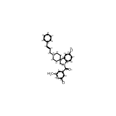 Cc1cc(C(=O)N2CC3(CCN(C/C=C/c4ccccc4)CC3)c3cc(Cl)ccc32)cc(Cl)n1